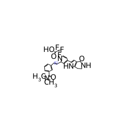 CN(C)C(=O)c1cccc(/C=C/c2cc(-c3cc4c([nH]3)CCNC4=O)ccn2)c1.O=C(O)C(F)(F)F